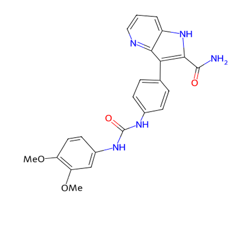 COc1ccc(NC(=O)Nc2ccc(-c3c(C(N)=O)[nH]c4cccnc34)cc2)cc1OC